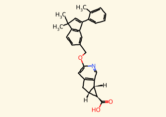 Cc1ccccc1C1=CC(C)(C)c2ccc(COc3cc4c(cn3)[C@H]3[C@@H](C4)[C@@H]3C(=O)O)cc21